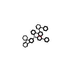 C1=CC(c2ccccc2-c2ccccc2N(c2ccc(-c3ccccc3)cc2)c2ccc3c(c2)C2(CCCCC2)C2=CCCC=C23)=C(c2ccccc2)CC1